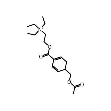 CC[N+](CC)(CC)CCOC(=O)C1=CCC(COC(C)=O)C=C1